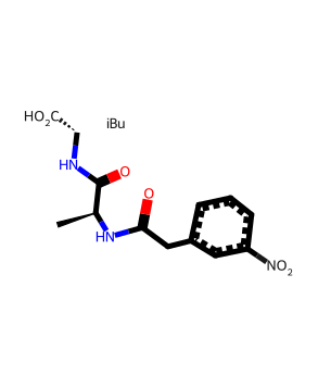 CC[C@H](C)[C@H](NC(=O)[C@H](C)NC(=O)Cc1cccc([N+](=O)[O-])c1)C(=O)O